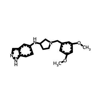 COc1cc(CN2CCC(Nc3ccc4[nH]ncc4c3)C2)cc(OC)c1